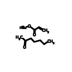 C=CC(=O)OCCCC.CCCCCC(C)=O